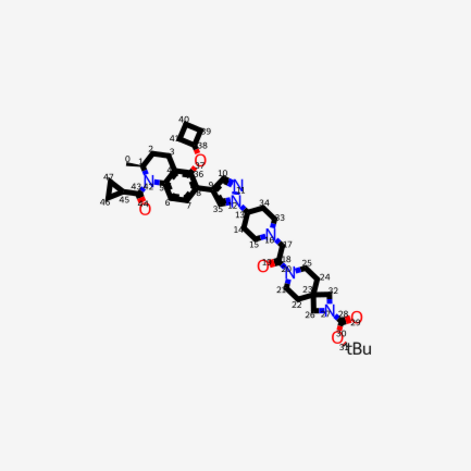 C[C@H]1CCc2c(ccc(-c3cnn(C4CCN(CC(=O)N5CCC6(CC5)CN(C(=O)OC(C)(C)C)C6)CC4)c3)c2OC2CCC2)N1C(=O)C1CC1